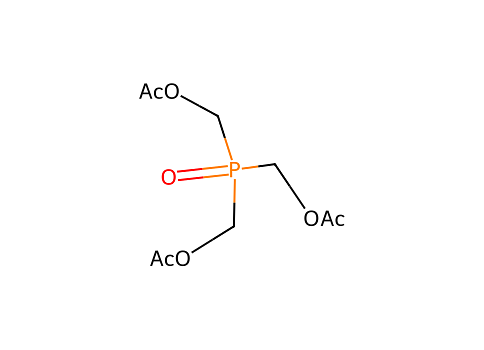 CC(=O)OCP(=O)(COC(C)=O)COC(C)=O